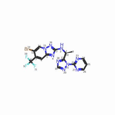 C[C@H](Nc1nc2cc(C(F)(F)F)c(Br)cn2n1)c1ncnn1-c1ncccn1